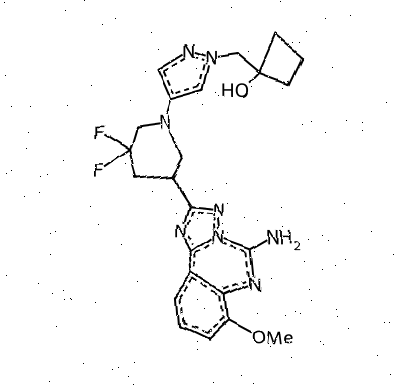 COc1cccc2c1nc(N)n1nc(C3CN(c4cnn(CC5(O)CCC5)c4)CC(F)(F)C3)nc21